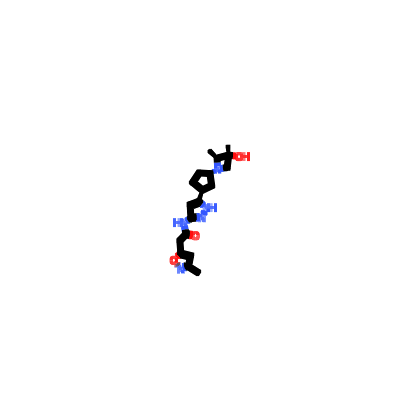 Cc1cc(CC(=O)Nc2cc([C@H]3CC[C@@H](N4C[C@@](C)(O)[C@@H]4C)C3)[nH]n2)on1